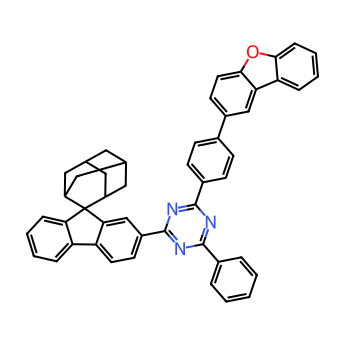 c1ccc(-c2nc(-c3ccc(-c4ccc5oc6ccccc6c5c4)cc3)nc(-c3ccc4c(c3)C3(c5ccccc5-4)C4CC5CC(C4)CC3C5)n2)cc1